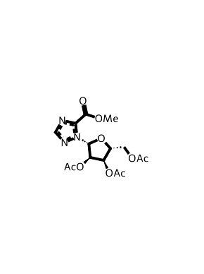 COC(=O)c1ncnn1[C@@H]1O[C@H](COC(C)=O)[C@@H](OC(C)=O)[C@H]1OC(C)=O